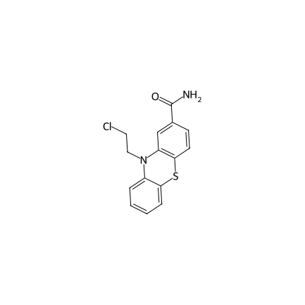 NC(=O)c1ccc2c(c1)N(CCCl)c1ccccc1S2